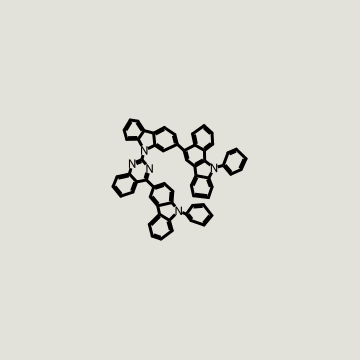 c1ccc(-n2c3ccccc3c3cc(-c4nc(-n5c6ccccc6c6ccc(-c7cc8c9ccccc9n(-c9ccccc9)c8c8ccccc78)cc65)nc5ccccc45)ccc32)cc1